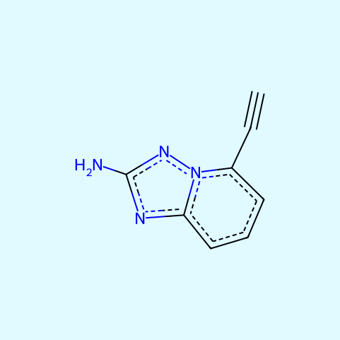 C#Cc1cccc2nc(N)nn12